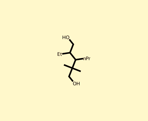 CCCC(C(CC)CO)C(C)(C)CO